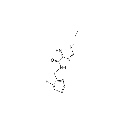 CCCN/C=N\C(=N)C(=O)NCc1ncccc1F